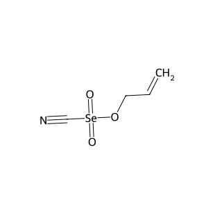 C=CCO[Se](=O)(=O)C#N